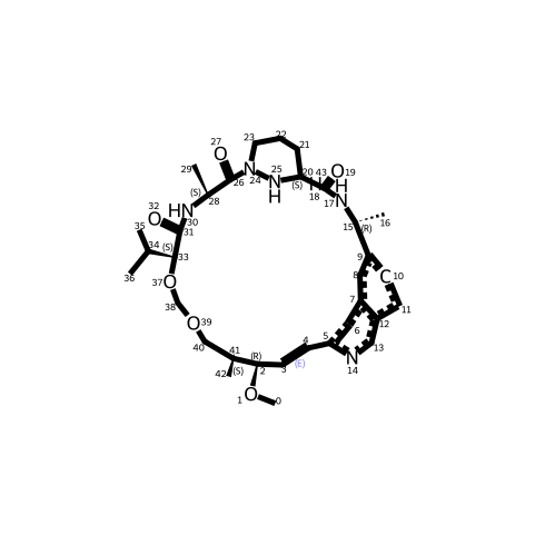 CO[C@@H]1/C=C/c2cc3cc(ccc3cn2)[C@@H](C)NC(=O)[C@@H]2CCCN(N2)C(=O)[C@H](C)NC(=O)[C@H](C(C)C)OCOC[C@@H]1C